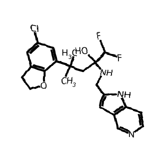 CC(C)(CC(O)(NCc1cc2cnccc2[nH]1)C(F)F)c1cc(Cl)cc2c1OCC2